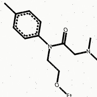 CCOCCN(C(=O)CN(C)C)c1ccc(C)cc1